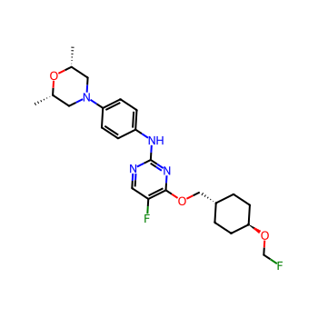 C[C@@H]1CN(c2ccc(Nc3ncc(F)c(OC[C@H]4CC[C@H](OCF)CC4)n3)cc2)C[C@H](C)O1